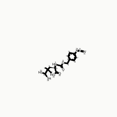 CC(C)(C[C@@H](NC(=O)OCc1ccc(N=[N+]=[N-])cc1)C(=O)O)C(S)S